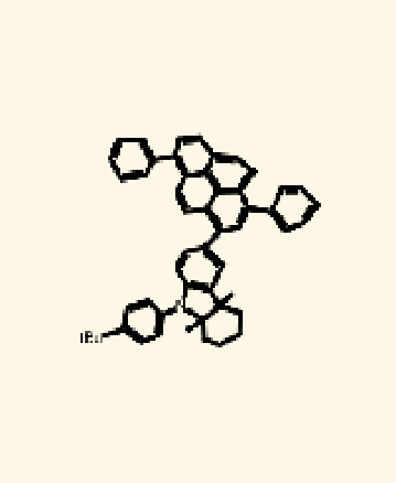 CC(C)(C)c1ccc(N2c3ccc(-c4cc(-c5ccccc5)c5ccc6ccc(-c7ccccc7)c7ccc4c5c67)cc3C3(C)CCCCC23C)cc1